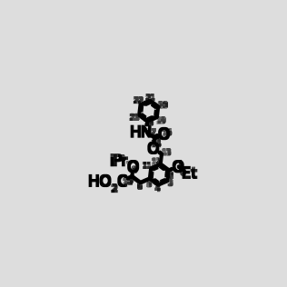 CCOc1ccc(CC(OC(C)C)C(=O)O)cc1COC(=O)Nc1ccccc1